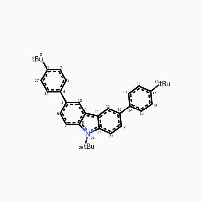 CC(C)(C)c1ccc(-c2ccc3c(c2)c2cc(-c4ccc(C(C)(C)C)cc4)ccc2n3C(C)(C)C)cc1